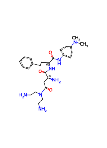 CN(C)c1ccc(NC(=O)[C@H](CCc2ccccc2)NC(=O)[C@@H](N)CC(=O)N(CCN)CCN)cc1